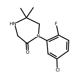 CC1(C)CN(c2cc(Cl)ccc2F)C(=O)CN1